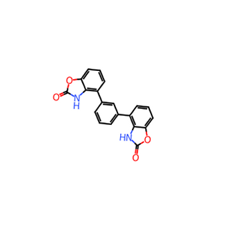 O=c1[nH]c2c(-c3cccc(-c4cccc5oc(=O)[nH]c45)c3)cccc2o1